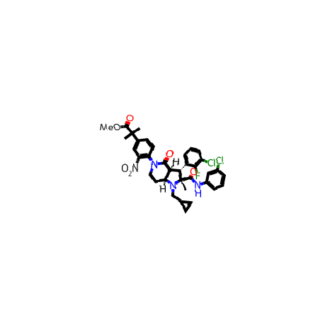 COC(=O)C(C)(C)c1ccc(N2CC[C@H]3[C@@H](C2=O)[C@H](c2cccc(Cl)c2F)[C@](C)(C(=O)Nc2cccc(Cl)c2)N3CC2CC2)c([N+](=O)[O-])c1